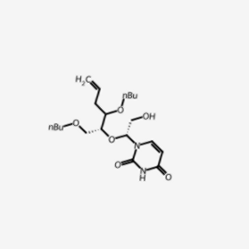 C=CCC(OCCCC)[C@@H](COCCCC)O[C@H](CO)n1ccc(=O)[nH]c1=O